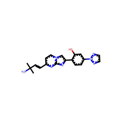 CC(C)(N)/C=C/c1ccn2cc(-c3ccc(-n4nccn4)cc3O)nc2n1